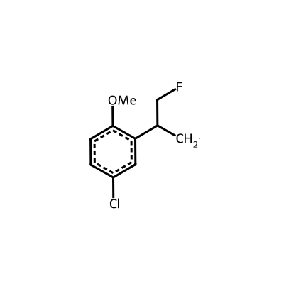 [CH2]C(CF)c1cc(Cl)ccc1OC